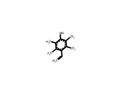 C=Cc1c(C(F)(F)F)c(C)c(C(C)(C)C)c(C(F)(F)F)c1C(F)(F)F